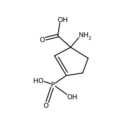 NC1(C(=O)O)C=C(P(=O)(O)O)CC1